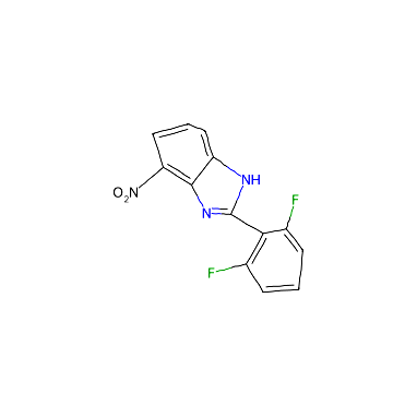 O=[N+]([O-])c1cccc2[nH]c(-c3c(F)cccc3F)nc12